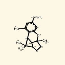 CCCCCc1cc(O)c2c(c1)OC1(C)CCC3C1C2C3(C)O